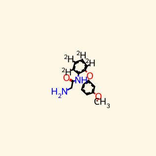 [2H]c1c([2H])c([2H])c(Oc2cccc(OC)c2)c(NC(=O)CN)c1[2H]